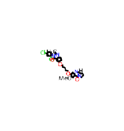 COc1cc2c(cc1OCCCCCOc1ccc3nc(C)n(-c4ccc(Cl)cc4Cl)c(=O)c3c1)N=C[C@@H]1CCCN1C2=O